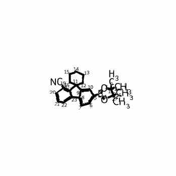 CC1(C)OB(c2ccc3c(c2)C2(CCCCC2)c2c(C#N)cccc2-3)OC1(C)C